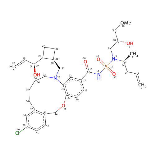 C=CC[C@H](C)N(C[C@@H](O)COC)S(=O)(=O)NC(=O)c1ccc2c(c1)N(C[C@@H]1CCC1[C@@H](O)C=C)CCCCc1cc(Cl)ccc1CO2